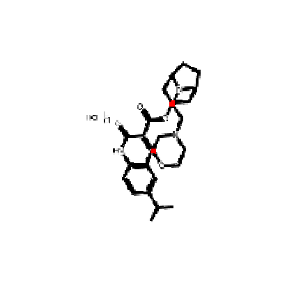 CC(C)c1ccc2[nH]c(=O)c(C(=O)OC3CC4CCC(C3)N4CCN3CCOCC3)cc2c1.Cl.Cl